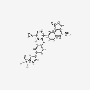 CN(C(=O)C1CC1)N(Cc1ccc(-c2cnn(C(F)(F)F)c2)cc1)C(=O)c1ccc2nc(N)c3cnn(C)c3c2c1